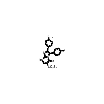 CCOC(=O)c1c[nH]c2nc(-c3ccc(C(F)(F)F)cc3)c(-c3ccc(F)cc3)n2c1=O